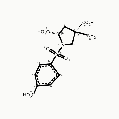 N[C@]1(C(=O)O)C[C@@H](C(=O)O)N(S(=O)(=O)c2ccc(C(=O)O)cc2)C1